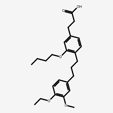 CCCCOc1cc(CCC(=O)O)ccc1CCCc1ccc(OCC)c(OC)c1